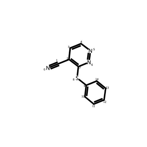 N#Cc1ccnnc1Sc1ccccc1